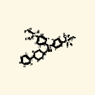 CCC[Si](CCC)(CCC)c1ccc(P(NC2CCC(c3ccccc3)CC2)c2ccc([Si](CCC)(CCC)CCC)cc2)cc1